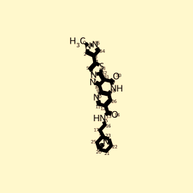 Cn1cc(-c2cn3nc4c5ncc(C(=O)NCCN6CC7CCC6CC7)cc5[nH]c(=O)c4c3s2)cn1